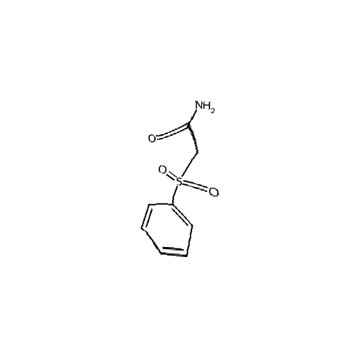 NC(=O)CS(=O)(=O)c1ccccc1